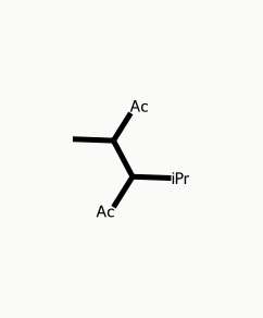 C[C](C(C)=O)C(C(C)=O)C(C)C